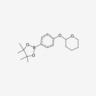 CC1(C)OB(c2ccc(OC3CCCCO3)cc2)OC1(C)C